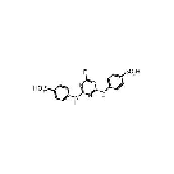 O=S(=O)(O)c1ccc(Nc2nc(F)nc(Nc3ccc(S(=O)(=O)O)cc3)n2)cc1